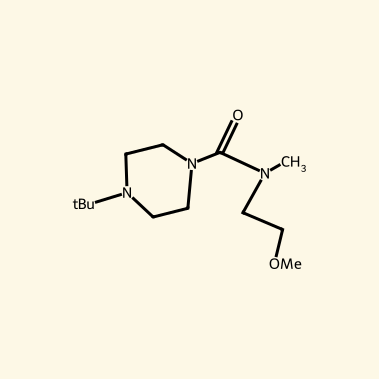 COCCN(C)C(=O)N1CCN(C(C)(C)C)CC1